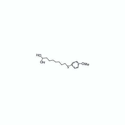 COc1ccc(SCCCCCCCC(O)O)cc1